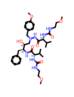 COCCNC(=O)N[C@H](C(=O)N[C@@H](Cc1ccccc1)[C@@H](O)CN(Cc1ccc(OC)cc1)NC(=O)[C@@H](NC(=O)NCCOC)C(C)C)C(C)C